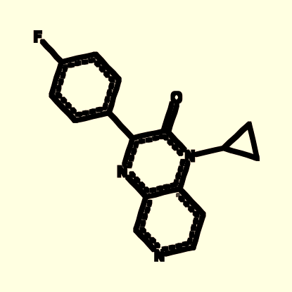 O=c1c(-c2ccc(F)cc2)nc2cnccc2n1C1CC1